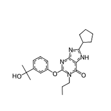 CCCn1c(Oc2cccc(C(C)(C)O)c2)nc2nc(C3CCCC3)[nH]c2c1=O